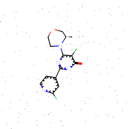 C[C@@H]1COC[C@@H](C)N1c1nc(-c2ccnc(F)c2)[nH]c(=O)c1Cl